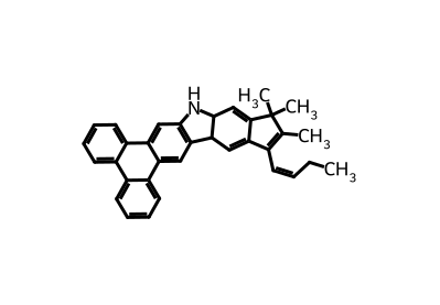 CC/C=C\C1=C(C)C(C)(C)C2=CC3Nc4cc5c6ccccc6c6ccccc6c5cc4C3C=C21